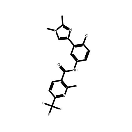 Cc1nc(C(F)(F)F)ccc1C(=O)Nc1ccc(Cl)c(-c2cn(C)c(C)n2)c1